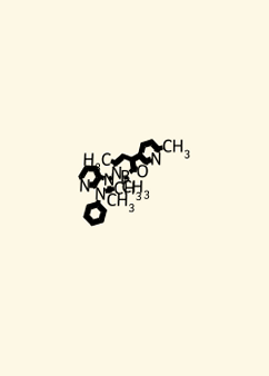 CB1c2oc3nc(C)ccc3c2C=C(C)N1N1c2cccnc2N(c2ccccc2)C1(C)C